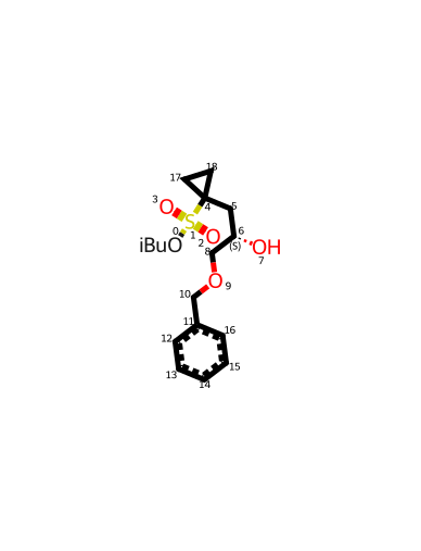 CC(C)COS(=O)(=O)C1(C[C@H](O)COCc2ccccc2)CC1